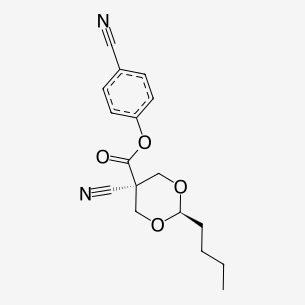 CCCC[C@H]1OC[C@@](C#N)(C(=O)Oc2ccc(C#N)cc2)CO1